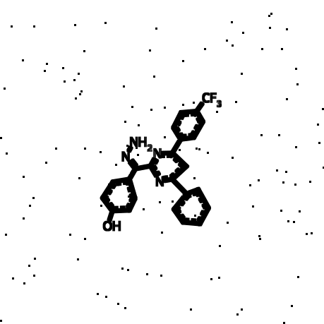 NN=C(c1ccc(O)cc1)c1nc(-c2ccccc2)cc(-c2ccc(C(F)(F)F)cc2)n1